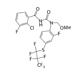 COCN(C(=O)NC(=O)c1cccc(F)c1Cl)c1ccc(SC(F)(F)C(F)(F)C(F)(F)F)cc1F